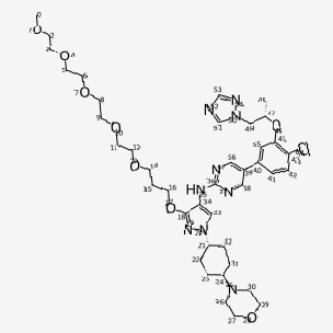 COCCOCCOCCOCCOCCCOc1nn([C@H]2CC[C@H](N3CCOCC3)CC2)cc1Nc1ncc(-c2ccc(Cl)c(O[C@@H](C)Cn3cncn3)c2)cn1